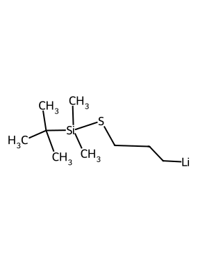 [Li][CH2]CCS[Si](C)(C)C(C)(C)C